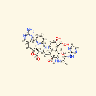 CC(NC1CC2[C@](C)(CC[C@@H](O)[C@@]2(C)CO)C(CC(Nc2ccccn2)C2=C/C(=C\c3cnc(N)nc3)OC2=O)C12CO2)C(=O)NC1=NCC=N1